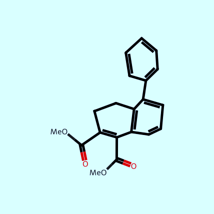 COC(=O)C1=C(C(=O)OC)c2cccc(-c3ccccc3)c2CC1